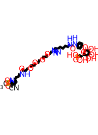 CS(=O)(=O)c1nc(CCCNC(=O)CCOCCOCCOCCOCCn2cc(CCCCNC(=O)Nc3ccc(O[C@H]4O[C@H](CCP(=O)(O)O)[C@@H](O)[C@H](O)[C@@H]4O)cc3)nn2)ccc1C#N